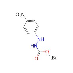 CC(C)(C)OC(=O)NNc1ccc([N+](=O)[O-])cc1